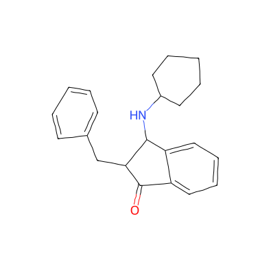 O=C1c2ccccc2C(NC2CCCCC2)C1Cc1ccccc1